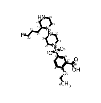 CCOc1ccc(S(=O)(=O)N2CCN(N3CCNCC3CCCF)CC2)cc1C(=O)O